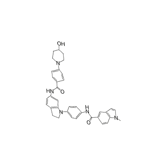 Cn1ccc2cc(C(=O)Nc3ccc(N4CCc5ccc(NC(=O)c6ccc(N7CCC(O)CC7)cc6)cc54)cc3)ccc21